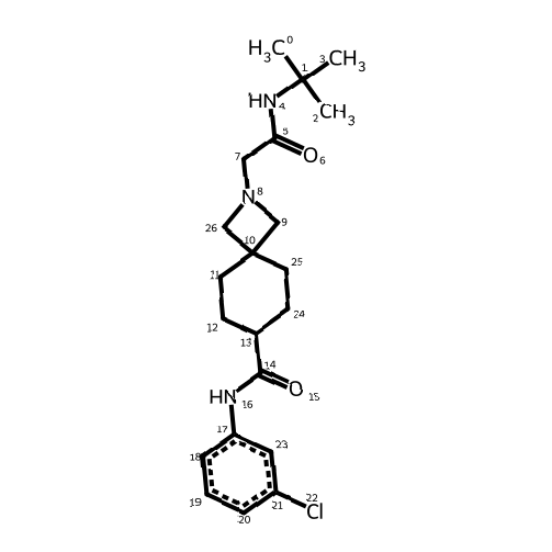 CC(C)(C)NC(=O)CN1CC2(CCC(C(=O)Nc3cccc(Cl)c3)CC2)C1